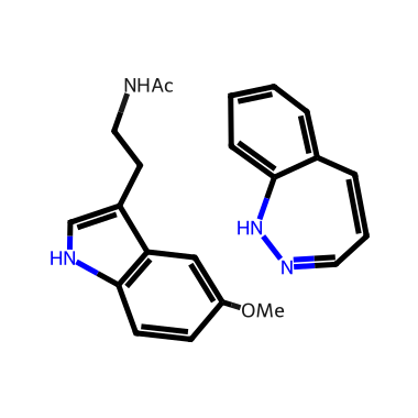 C1=Cc2ccccc2NN=C1.COc1ccc2[nH]cc(CCNC(C)=O)c2c1